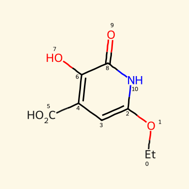 CCOc1cc(C(=O)O)c(O)c(=O)[nH]1